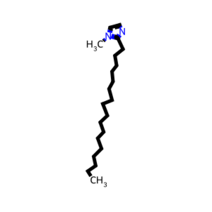 CCCCCCCCCCCCCCCCCc1nccn1C